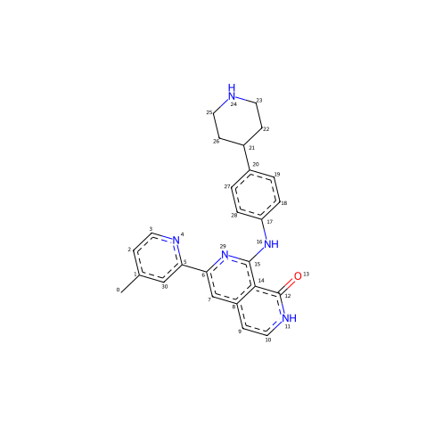 Cc1ccnc(-c2cc3cc[nH]c(=O)c3c(Nc3ccc(C4CCNCC4)cc3)n2)c1